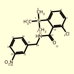 C[Si](C)(C)c1cccc(Cl)c1C(=O)NCc1cccc([N+](=O)[O-])c1